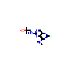 CN(C)c1nc(Cl)nc2cnc(NCC(C)(C)O)nc12